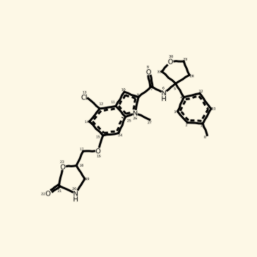 Cc1ccc(C2(NC(=O)c3cc4c(Cl)cc(OCC5CNC(=O)O5)cc4n3C)CCOC2)cc1